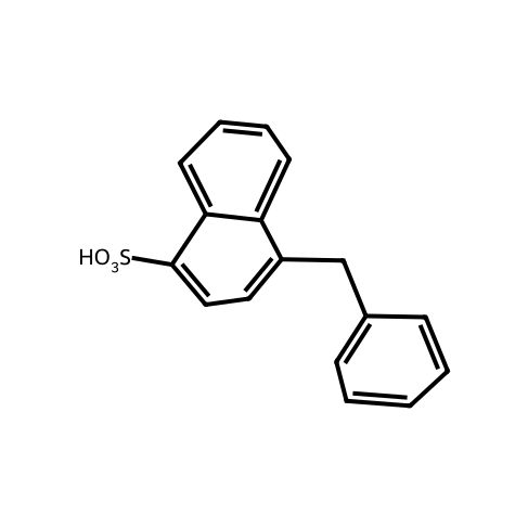 O=S(=O)(O)c1ccc(Cc2ccccc2)c2ccccc12